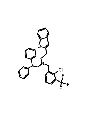 FC(F)(F)c1cccc(CN(CCc2cc3ccccc3o2)CC(c2ccccc2)c2ccccc2)c1Cl